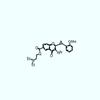 CCCc1c(C2CC2c2ccccc2OC)oc2ccc(C(=O)OCCN(CC)CC)cc2c1=O